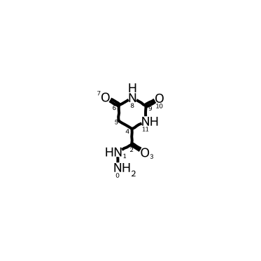 NNC(=O)C1CC(=O)NC(=O)N1